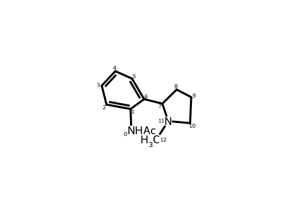 CC(=O)Nc1ccccc1C1CCCN1C